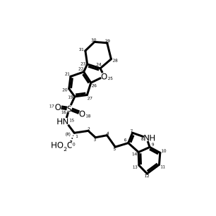 O=C(O)[C@@H](CCCCc1c[nH]c2ccccc12)NS(=O)(=O)c1ccc2c3c(oc2c1)CCCC3